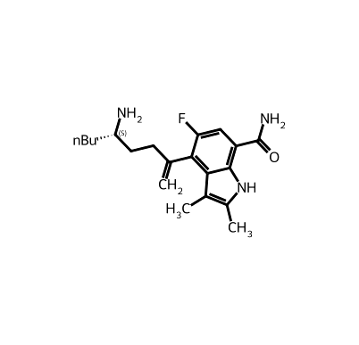 C=C(CC[C@@H](N)CCCC)c1c(F)cc(C(N)=O)c2[nH]c(C)c(C)c12